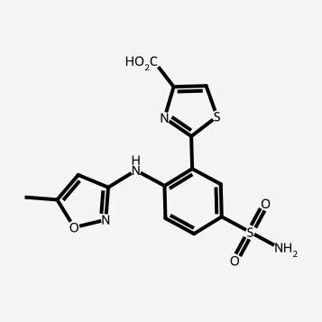 Cc1cc(Nc2ccc(S(N)(=O)=O)cc2-c2nc(C(=O)O)cs2)no1